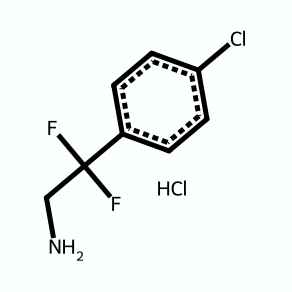 Cl.NCC(F)(F)c1ccc(Cl)cc1